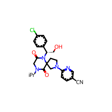 CC(C)N1CC(=O)N([C@@H](CO)c2ccc(Cl)cc2)C2(CCN(c3ccc(C#N)cn3)C2)C1=O